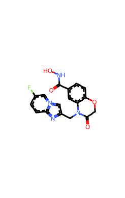 O=C(NO)c1ccc2c(c1)N(Cc1cn3cc(F)ccc3n1)C(=O)CO2